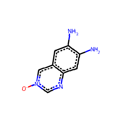 Nc1cc2c[n+]([O-])cnc2cc1N